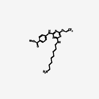 COC(=O)c1ccc(Nc2nc(NCCCCCCCCN)nc(OCC(F)(F)F)n2)cc1